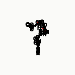 COc1cc2c(cc1OCCCOc1cc(/N=C\C3CC(c4ccc(NC(=O)C(C)NC(=O)C(NC(=O)CCCCCN5C(=O)CC(C6CCCCCCC6)C5=O)C(C)C)cc4)=CN3C)c(C=O)cc1OC)N=CC1CC(c3ccc(N4CCN(C)CC4)cc3)=CN1C2=O